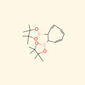 CC1(C)OB(C2C=CC=CC=CC2B2OC(C)(C)C(C)(C)O2)OC1(C)C